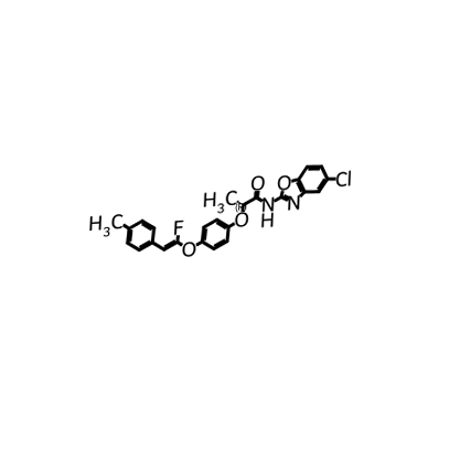 Cc1ccc(C=C(F)Oc2ccc(O[C@H](C)C(=O)Nc3nc4cc(Cl)ccc4o3)cc2)cc1